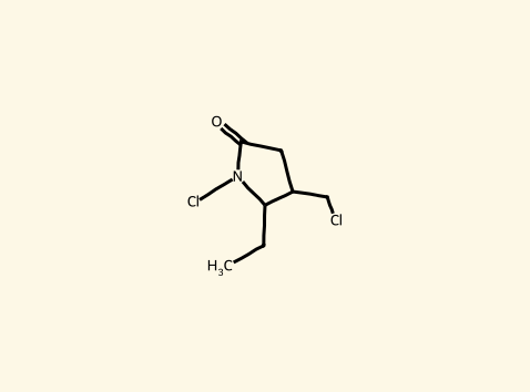 CCC1C(CCl)CC(=O)N1Cl